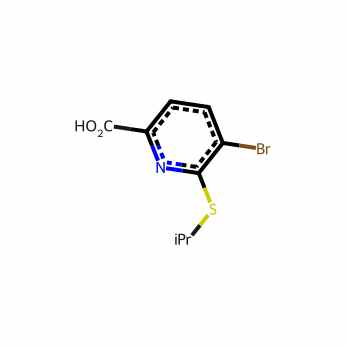 CC(C)Sc1nc(C(=O)O)ccc1Br